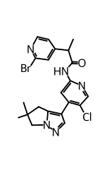 CC(C(=O)Nc1cc(-c2cnn3c2CC(C)(C)C3)c(Cl)cn1)c1ccnc(Br)c1